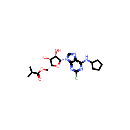 CC(C)C(=O)OC[C@H]1O[C@@H](n2cnc3c(NC4CCCC4)nc(Cl)nc32)[C@H](O)[C@@H]1O